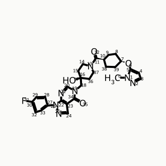 Cn1nccc1O[C@H]1CC[C@H](C(=O)N2CCC(O)(Cn3cnc4c(cnn4-c4ccc(F)cc4)c3=O)CC2)CC1